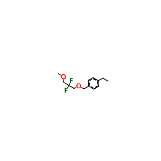 CCc1ccc(COCC(F)(F)COC)cc1